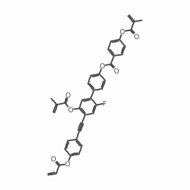 C=CC(=O)Oc1ccc(C#Cc2cc(F)c(-c3ccc(OC(=O)c4ccc(OC(=O)C(=C)C)cc4)cc3)cc2OC(=O)C(=C)C)cc1